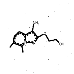 Cc1ccc2c(N)c(OCCO)nn2c1C